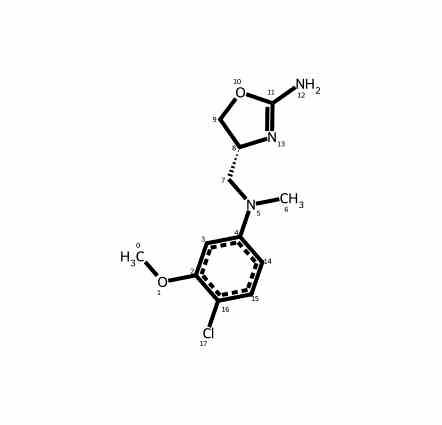 COc1cc(N(C)C[C@@H]2COC(N)=N2)ccc1Cl